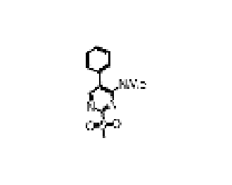 CNc1nc(S(C)(=O)=O)ncc1-c1ccccc1